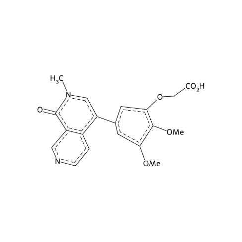 COc1cc(-c2cn(C)c(=O)c3cnccc23)cc(OCC(=O)O)c1OC